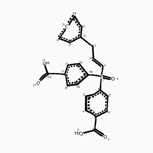 O=C(O)c1ccc(P(=O)(C=CCc2ccccc2)c2ccc(C(=O)O)cc2)cc1